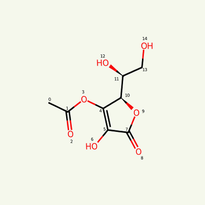 CC(=O)OC1=C(O)C(=O)O[C@@H]1[C@@H](O)CO